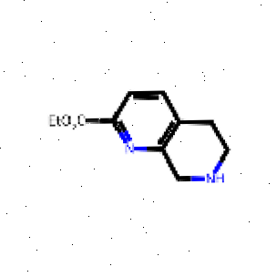 CCOC(=O)c1ccc2c(n1)CNCC2